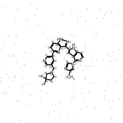 Cc1cn(-c2nccc3[nH]c(-c4n[nH]c5ccc(-c6cncc(CN7CCC(F)(F)C7)c6)nc45)cc23)cn1